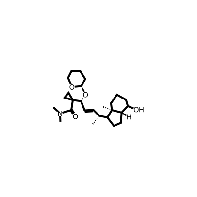 C[C@H](/C=C/[C@@H](O[C@@H]1CCCCO1)C1(C(=O)N(C)C)CC1)C1CC[C@H]2C(O)CCC[C@]12C